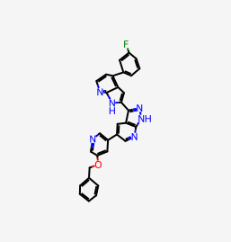 Fc1cccc(-c2ccnc3[nH]c(-c4n[nH]c5ncc(-c6cncc(OCc7ccccc7)c6)cc45)cc23)c1